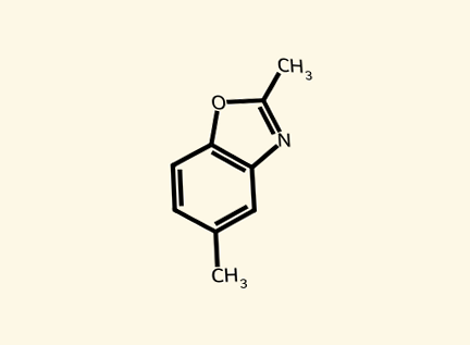 Cc1ccc2oc(C)nc2c1